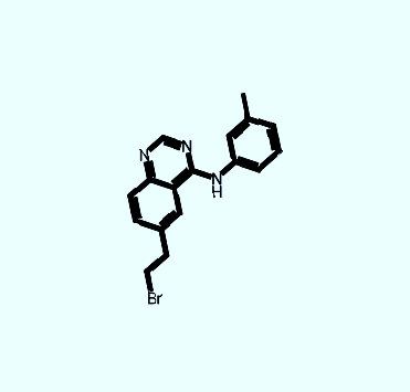 Cc1cccc(Nc2ncnc3ccc(CCBr)cc23)c1